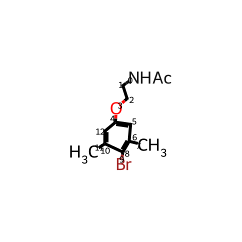 CC(=O)NCCOc1cc(C)c(Br)c(C)c1